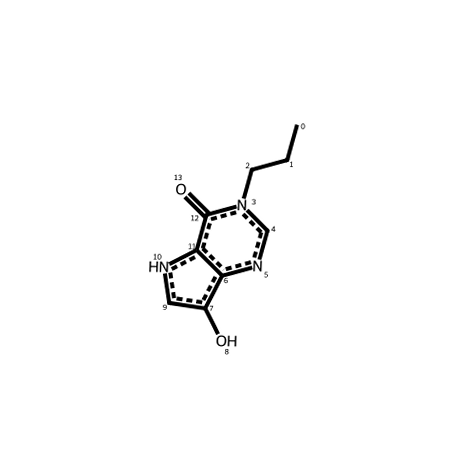 CCCn1cnc2c(O)c[nH]c2c1=O